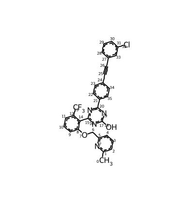 Cc1cccc(COc2cccc(C(F)(F)F)c2-c2nc(O)nc(-c3ccc(C#Cc4cccc(Cl)c4)cc3)n2)n1